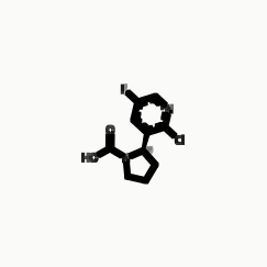 O=C(O)N1CCC[C@@H]1c1cc(F)cnc1Cl